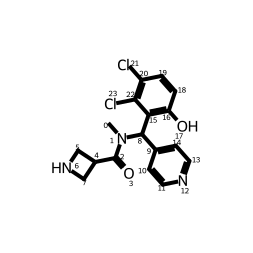 CN(C(=O)C1CNC1)C(c1ccncc1)c1c(O)ccc(Cl)c1Cl